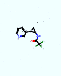 O=C(NC1CC1c1cccnc1)C(F)(F)F